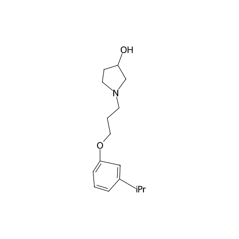 CC(C)c1cccc(OCCCN2CCC(O)C2)c1